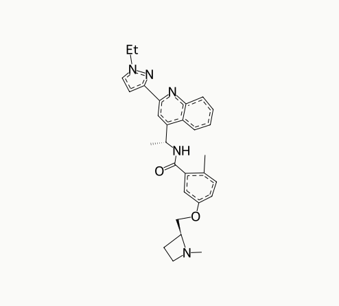 CCn1ccc(-c2cc([C@@H](C)NC(=O)c3cc(OC[C@@H]4CCN4C)ccc3C)c3ccccc3n2)n1